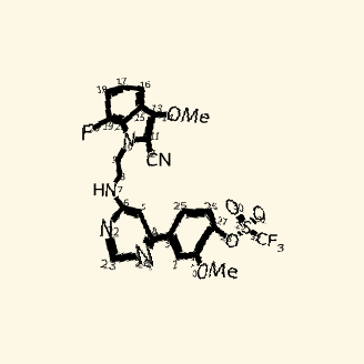 COc1cc(-c2cc(NCCn3c(C#N)c(OC)c4cccc(F)c43)ncn2)ccc1OS(=O)(=O)C(F)(F)F